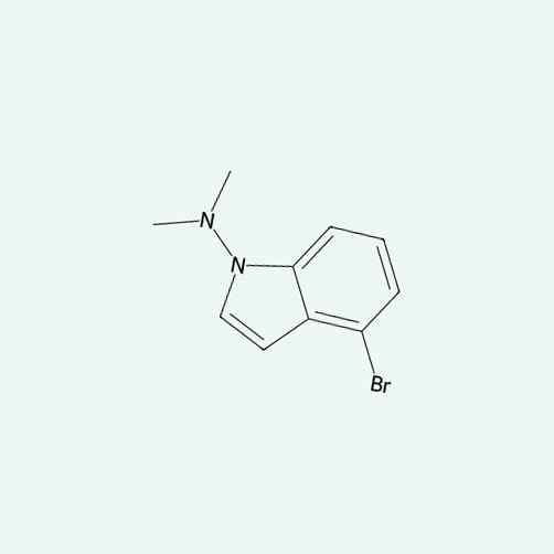 CN(C)n1ccc2c(Br)cccc21